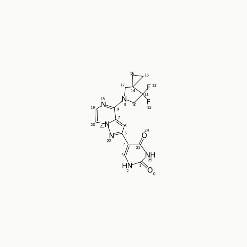 O=c1[nH]cc(-c2cc3c(N4CC(F)(F)C5(CC5)C4)nccn3n2)c(=O)[nH]1